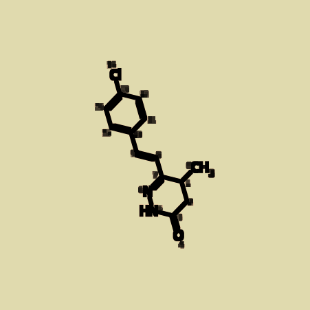 CC1CC(=O)NN=C1C=Cc1ccc(Cl)cc1